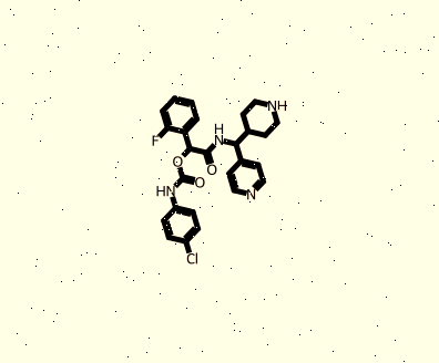 O=C(Nc1ccc(Cl)cc1)OC(C(=O)NC(c1ccncc1)C1CCNCC1)c1ccccc1F